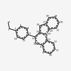 CCc1ccc(-c2nc3ccccc3n3c2cc2ccccc23)cc1